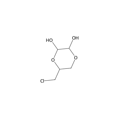 OC1OCC(CCl)OC1O